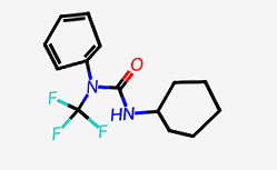 O=C(NC1CCCCC1)N(c1ccccc1)C(F)(F)F